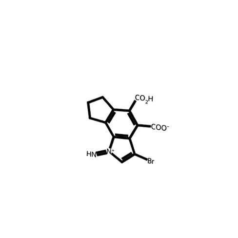 N=[N+]1C=C(Br)c2c(C(=O)[O-])c(C(=O)O)c3c(c21)CCC3